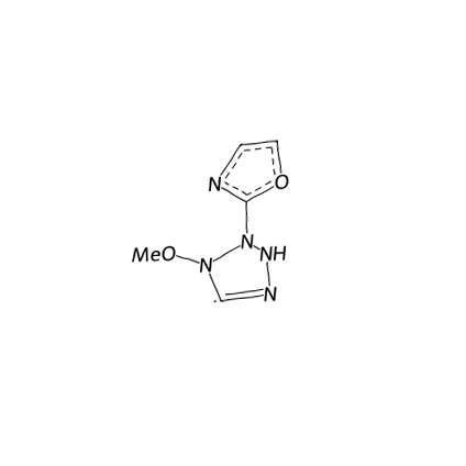 CON1[C]=NNN1c1ncco1